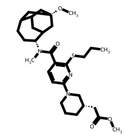 CCCSc1nc(N2CCC[C@@H](CC(=O)OC)C2)ccc1C(=O)N(C)[C@@H]1CCC2C[C@@]3(OC)CC2CC1C3